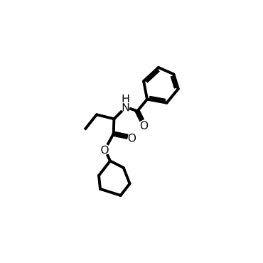 CCC(NC(=O)c1ccccc1)C(=O)OC1CCCCC1